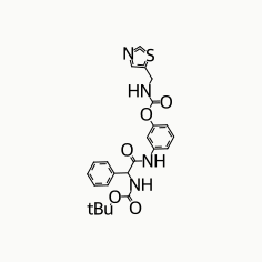 CC(C)(C)OC(=O)NC(C(=O)Nc1cccc(OC(=O)NCc2cncs2)c1)c1ccccc1